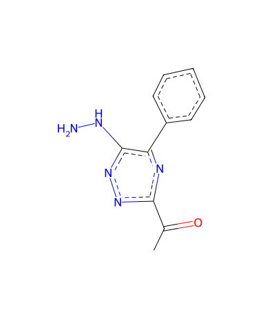 CC(=O)c1nnc(NN)c(-c2ccccc2)n1